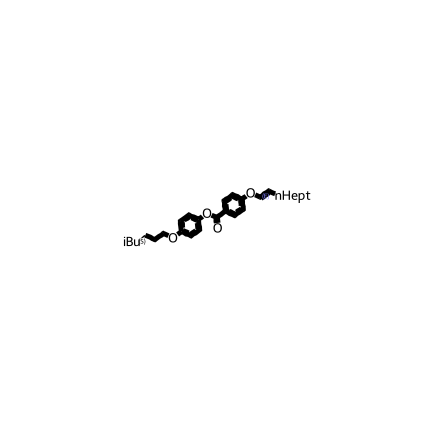 CCCCCCC/C=C/Oc1ccc(C(=O)Oc2ccc(OCCC[C@@H](C)CC)cc2)cc1